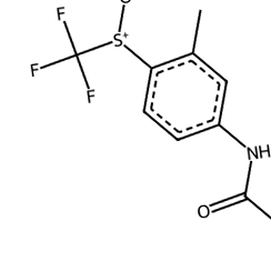 CC(=O)Nc1ccc([S+]([O-])C(F)(F)F)c(C)c1